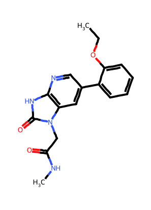 CCOc1ccccc1-c1cnc2[nH]c(=O)n(CC(=O)NC)c2c1